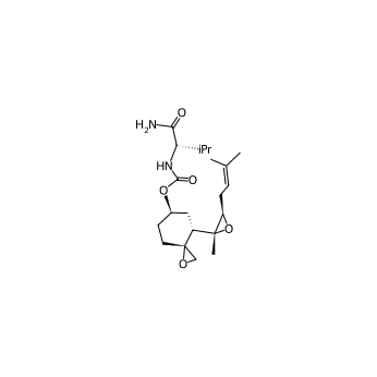 CC(C)=CC[C@H]1O[C@]1(C)[C@H]1C[C@H](OC(=O)N[C@H](C(N)=O)C(C)C)CC[C@]12CO2